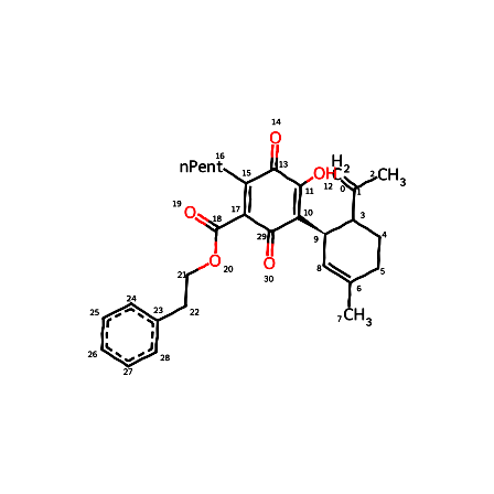 C=C(C)C1CCC(C)=C[C@H]1C1=C(O)C(=O)C(CCCCC)=C(C(=O)OCCc2ccccc2)C1=O